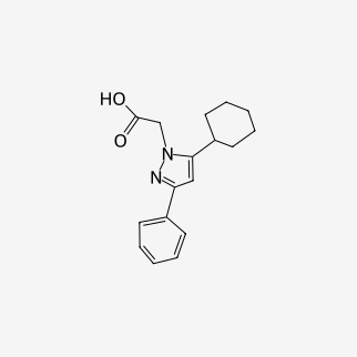 O=C(O)Cn1nc(-c2ccccc2)cc1C1CCCCC1